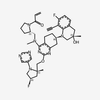 C#Cc1c(F)ccc2c1N([C@@H]1CCc3c(nc(OC[C@]4(C)C[C@@H](F)CN4c4cncnc4)nc3N(C)C[C@@H]3CCCN3C(=O)C=C)C1)C[C@@](C)(O)C2